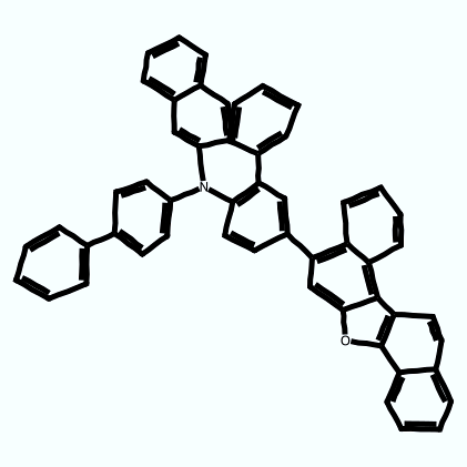 c1ccc(-c2ccc(N(c3ccc4ccccc4c3)c3ccc(-c4cc5oc6c7ccccc7ccc6c5c5ccccc45)cc3-c3ccccc3)cc2)cc1